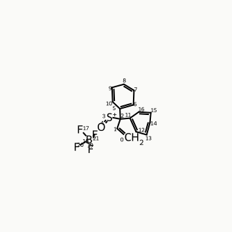 C=CC([S+]=O)(c1ccccc1)c1ccccc1.F[B-](F)(F)F